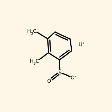 Cc1cccc(S(=O)[O-])c1C.[Li+]